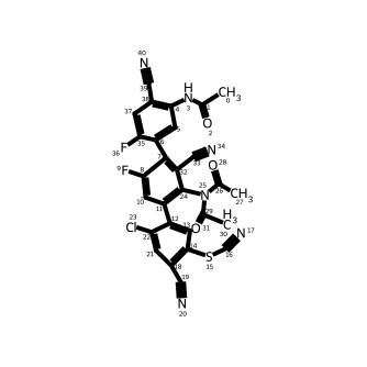 CC(=O)Nc1cc(-c2c(F)[c]c(-c3cc(SC#N)c(C#N)cc3Cl)c(N(C(C)=O)C(C)=O)c2C#N)c(F)cc1C#N